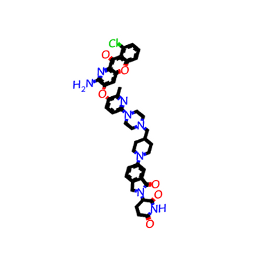 Cc1nc(N2CCN(CC3CCN(c4ccc5c(c4)C(=O)N(C4CCC(=O)NC4=O)C5)CC3)CC2)ccc1Oc1cc2oc3cccc(Cl)c3c(=O)c2nc1N